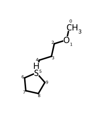 COCCC[SH]1CCCC1